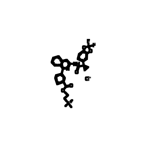 C[N+](C)(C)CCOC(=O)c1cccc(-c2nc(NC(=O)C3(c4ccc5c(c4)OC(F)(F)O5)CC3)cc3ccccc23)c1.[Cl-]